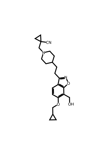 N#CC1(CN2CCC(CCc3noc4c(CO)c(OCC5CC5)ccc34)CC2)CC1